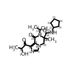 CC(O)C(=O)c1ncn2c1C(=O)N(C(C)C)C(C)(C(=O)NC1CCCC1)C2